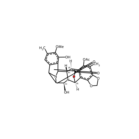 COc1c(C)cc2c(c1O)C1[C@@H]3[C@@H]4SCC(=O)C(=O)OC[C@@H](c5c6c(c(C)c(OC(C)=O)c54)OCO6)N3[C@@H](O)C3C2N13